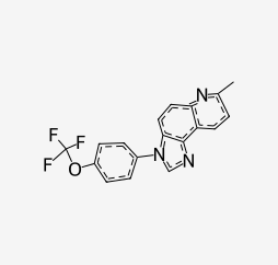 Cc1ccc2c(ccc3c2ncn3-c2ccc(OC(F)(F)F)cc2)n1